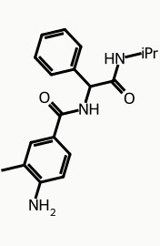 Cc1cc(C(=O)NC(C(=O)NC(C)C)c2ccccc2)ccc1N